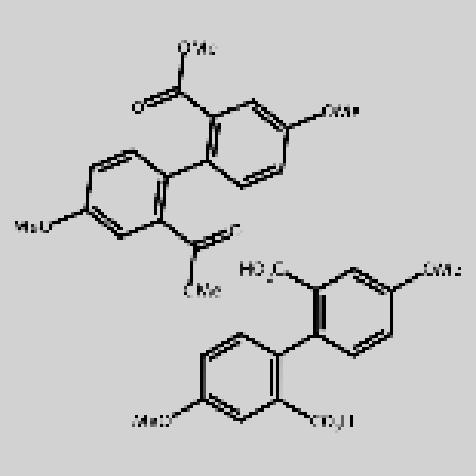 COC(=O)c1cc(OC)ccc1-c1ccc(OC)cc1C(=O)OC.COc1ccc(-c2ccc(OC)cc2C(=O)O)c(C(=O)O)c1